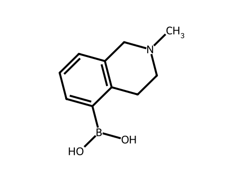 CN1CCc2c(cccc2B(O)O)C1